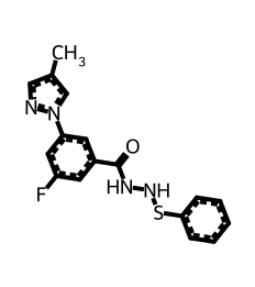 Cc1cnn(-c2cc(F)cc(C(=O)NNSc3ccccc3)c2)c1